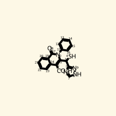 O=C(O)c1c(C(S)c2nc[nH]n2)n(-c2ccccc2)c(=O)c2ccccc12